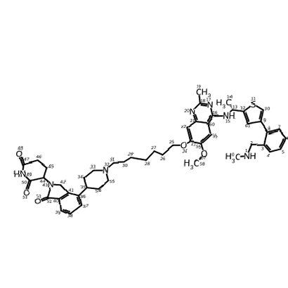 CNCc1ccccc1-c1csc([C@@H](C)Nc2nc(C)nc3cc(OCCCCCCCN4CCC(c5cccc6c5CN(C5CCC(=O)NC5=O)C6=O)CC4)c(OC)cc23)c1